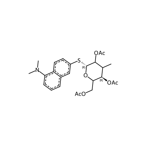 CC(=O)OCC1O[C@H](Sc2ccc3c(N(C)C)cccc3c2)C(OC(C)=O)C(C)[C@H]1OC(C)=O